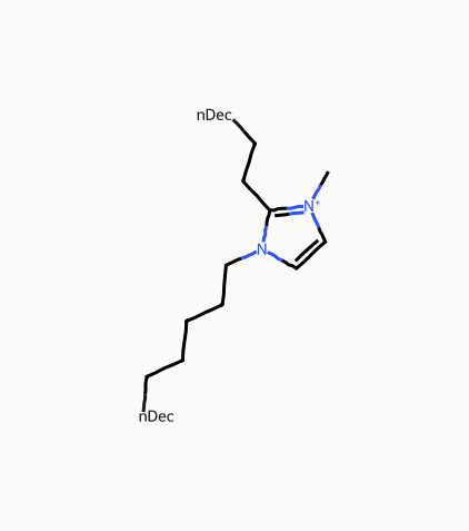 CCCCCCCCCCCCCCCn1cc[n+](C)c1CCCCCCCCCCCC